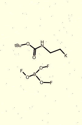 CC(C)(C)OC(=O)NC[CH2][K].FOB(OF)OF